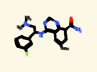 COc1cc(C(N)=O)c2ncnc(N[C@H](CN(C)C)c3cccc(F)c3)c2c1